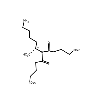 CCCCCCCCCCCCCC(=S)N(C(=S)CCCCCCCCCCCCC)[C@@H](CCCCN)C(=O)O